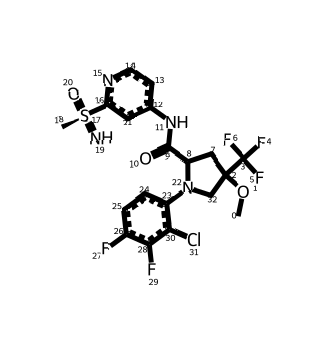 COC1(C(F)(F)F)CC(C(=O)Nc2ccnc([S@](C)(=N)=O)c2)N(c2ccc(F)c(F)c2Cl)C1